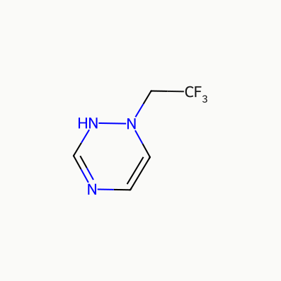 FC(F)(F)CN1C=CN=CN1